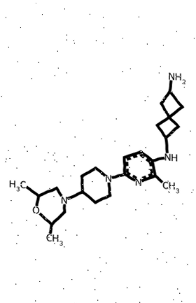 Cc1nc(N2CCC(N3CC(C)OC(C)C3)CC2)ccc1NC1CC2(CC(N)C2)C1